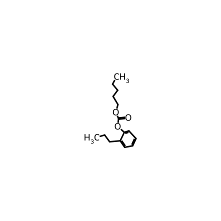 CCCCCOC(=O)Oc1ccccc1CCC